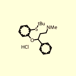 CNCCC(Oc1ccccc1SC(C)(C)C)c1ccccc1.Cl